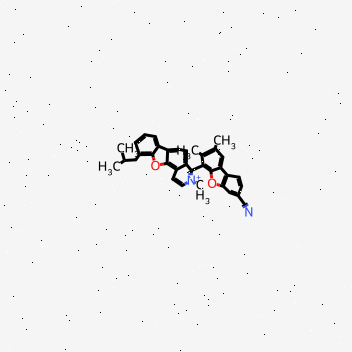 Cc1cc2c(oc3cc(C#N)ccc32)c(-c2c3ccc4c5cccc(CC(C)C)c5oc4c3cc[n+]2C)c1C